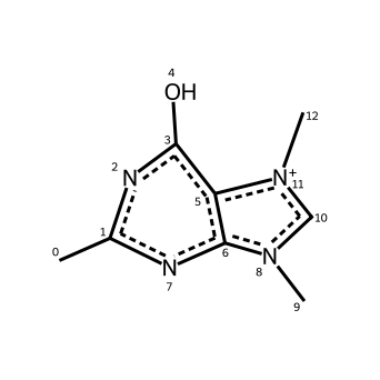 Cc1nc(O)c2c(n1)n(C)c[n+]2C